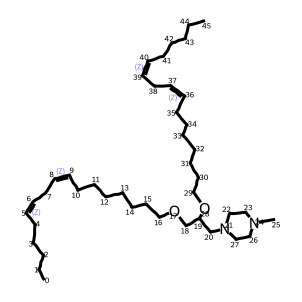 CCCCC/C=C\C/C=C\CCCCCCCOCC(CN1CCN(C)CC1)OCCCCCCC/C=C\C/C=C\CCCCC